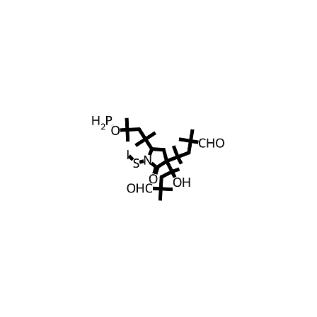 CC(C)(C=O)CC(C)(C)C1(C(C)(O)CC(C)(C)C=O)CC(C(C)(C)CC(C)(C)OP)N(SI)C1=O